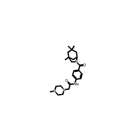 CN1CCN(CC(=O)Nc2ccc(C(=O)N3CC4(C)CC3CC(C)(C)C4)cc2)CC1